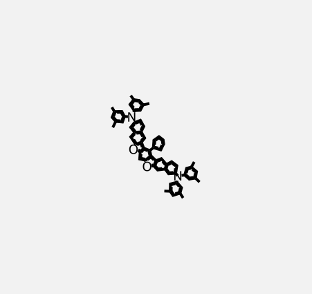 Cc1cc(C)cc(N(c2cc(C)cc(C)c2)c2ccc3cc4c(cc3c2)oc2cc3oc5cc6cc(N(c7cc(C)cc(C)c7)c7cc(C)cc(C)c7)ccc6cc5c3c(-c3ccccc3)c24)c1